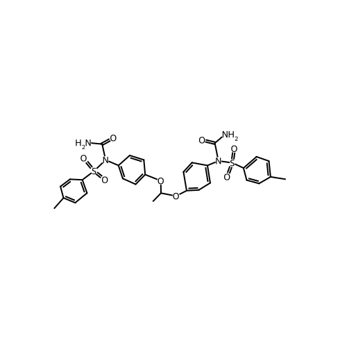 Cc1ccc(S(=O)(=O)N(C(N)=O)c2ccc(OC(C)Oc3ccc(N(C(N)=O)S(=O)(=O)c4ccc(C)cc4)cc3)cc2)cc1